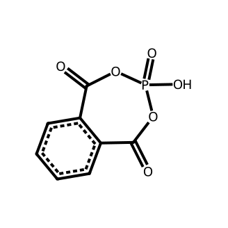 O=C1OP(=O)(O)OC(=O)c2ccccc21